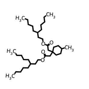 CCCCCC(CCCCC)CCOC(=O)CC1(CC(=O)OCCC(CCCCC)CCCCC)CCC(C)CC1